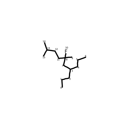 CCCC(CCC)CC(C)(F)CCC(C)C